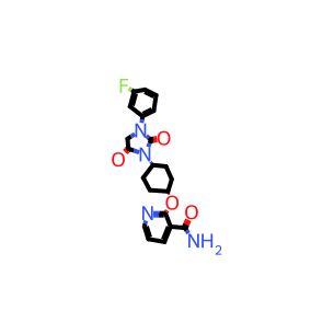 NC(=O)c1cccnc1O[C@H]1CC[C@H](N2C(=O)CN(c3cccc(F)c3)C2=O)CC1